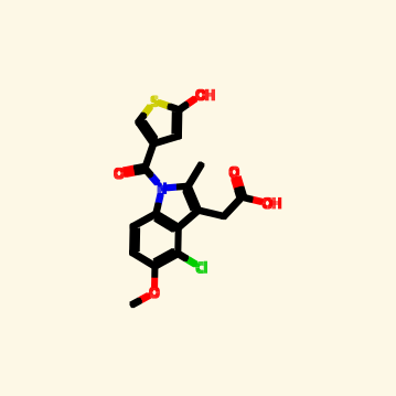 COc1ccc2c(c1Cl)c(CC(=O)O)c(C)n2C(=O)c1csc(O)c1